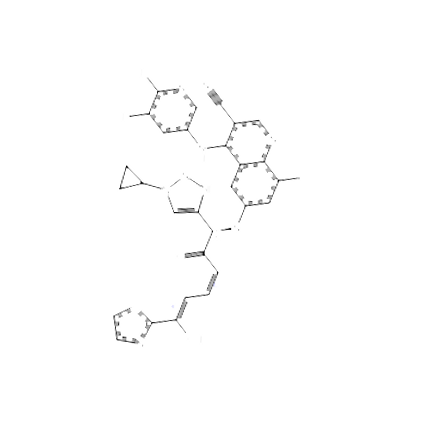 C=C(/C=C\C=C(/C)c1ncco1)[C@H](Nc1cc(Cl)c2ncc(C#N)c(Nc3cnc(F)c(F)c3)c2c1)C1=CN(C2CC2)NN1